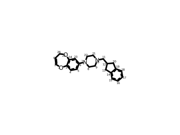 C1=COc2ccc(N3CCN(CC4Cc5ccccc5C4)CC3)cc2OC1